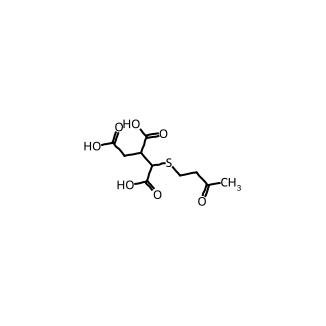 CC(=O)CCSC(C(=O)O)C(CC(=O)O)C(=O)O